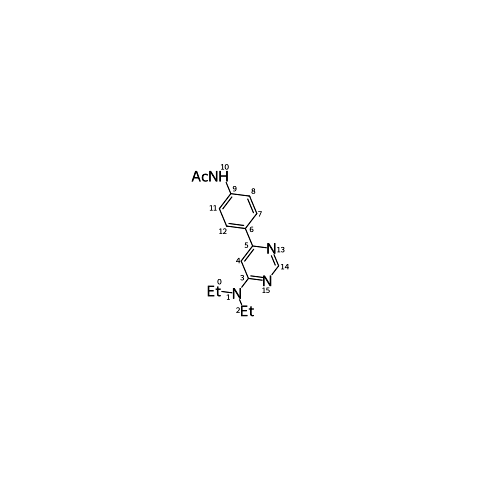 CCN(CC)c1cc(-c2ccc(NC(C)=O)cc2)ncn1